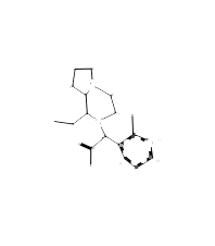 CCC1C2CCCN2CCN1C(C(=O)O)c1cccnc1C